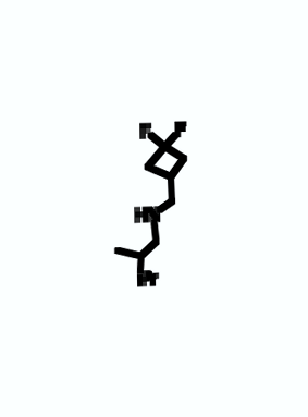 CC(C)C(C)CNCC1CC(F)(F)C1